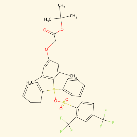 Cc1cc(OCC(=O)OC(C)(C)C)cc(C)c1S(OS(=O)(=O)c1ccc(C(F)(F)F)cc1C(F)(F)F)(c1ccccc1)c1ccccc1